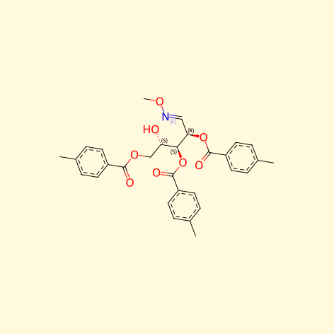 CO/N=C/[C@@H](OC(=O)c1ccc(C)cc1)[C@@H](OC(=O)c1ccc(C)cc1)[C@@H](O)COC(=O)c1ccc(C)cc1